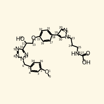 COc1ccc(Cn2nnc(C(O)COc3ccc(-c4cnn(CCCNC(=O)O)c4)cc3)n2)cc1